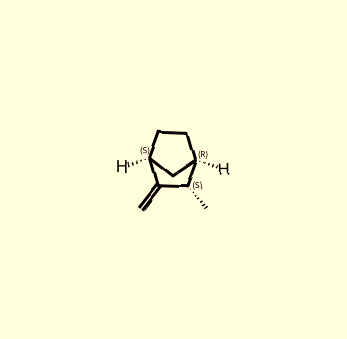 C=C1[C@H]2CC[C@H](C2)[C@@H]1C